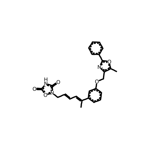 C/C(=C\C=C\Cn1oc(=O)[nH]c1=O)c1cccc(OCc2nc(-c3ccccc3)oc2C)c1